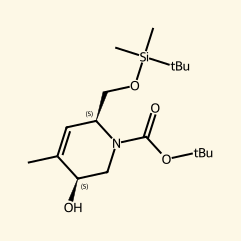 CC1=C[C@@H](CO[Si](C)(C)C(C)(C)C)N(C(=O)OC(C)(C)C)C[C@H]1O